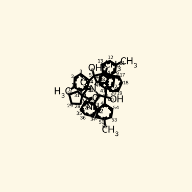 Cc1ccc(C(O)(c2ccc(C)cc2)[C@@H](c2ccccc2)N(C(=O)C2(C(N)=O)CCCC2)[C@H](c2ccccc2)C(O)(c2ccc(C)cc2)c2ccc(C)cc2)cc1